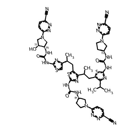 CC(C)c1nc(NC(=O)N[C@H]2CCN(c3ccc(C#N)nn3)C2)sc1CC(C)c1nc(NC(=O)N[C@@H]2CCN(c3ccc(C#N)nn3)C2)sc1CC(C)c1csc(NC(=O)N[C@@H]2CN(c3ccc(C#N)nn3)C[C@@H]2O)n1